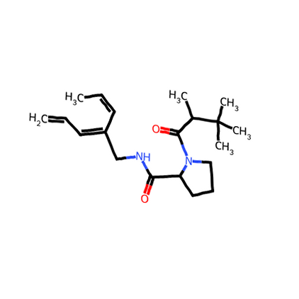 C=C/C=C(\C=C/C)CNC(=O)C1CCCN1C(=O)C(C)C(C)(C)C